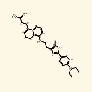 CCN(CC)c1ccc(-c2nc(CCOc3cccc4c3CCC=C4CCC(=O)O)c(C)o2)cn1